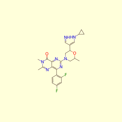 Cc1nc2c(-c3ccc(F)cc3F)nc(N3CC(C)OC(/C(C=N)=C/NC4CC4)C3)nc2c(=O)n1C